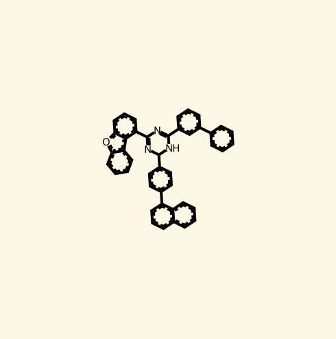 c1ccc(-c2cccc(C3=NC(c4cccc5oc6ccccc6c45)=NC(c4ccc(-c5cccc6ccccc56)cc4)N3)c2)cc1